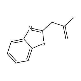 C=C(C)Cc1nc2ccccc2s1